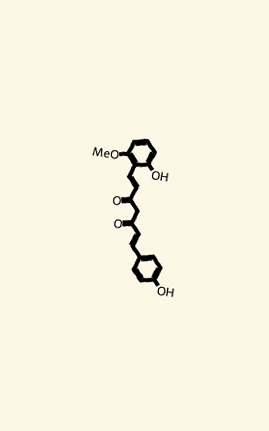 COc1cccc(O)c1/C=C/C(=O)CC(=O)/C=C/c1ccc(O)cc1